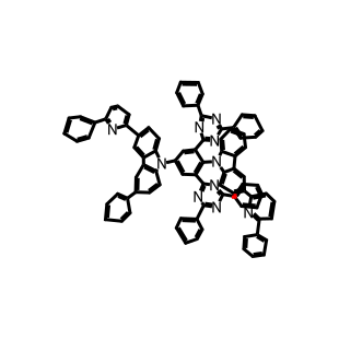 c1ccc(-c2ccc3c(c2)c2cc(-c4cccc(-c5ccccc5)n4)ccc2n3-c2cc(-c3nc(-c4ccccc4)nc(-c4ccccc4)n3)c(-n3c4ccccc4c4cc(-c5cccc(-c6ccccc6)n5)ccc43)c(-c3nc(-c4ccccc4)nc(-c4ccccc4)n3)c2)cc1